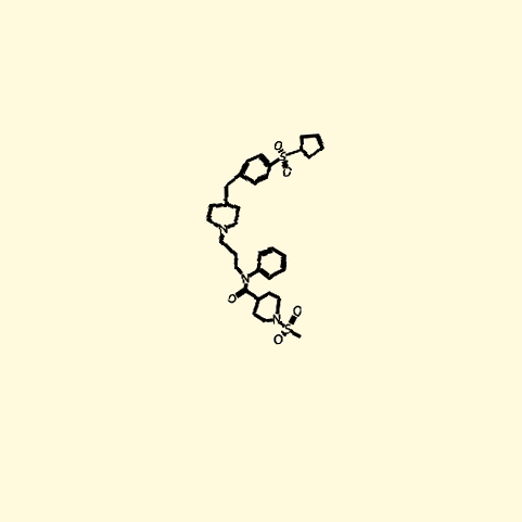 CS(=O)(=O)N1CCC(C(=O)N(CCCN2CCC(Cc3ccc(S(=O)(=O)C4CCCC4)cc3)CC2)c2ccccc2)CC1